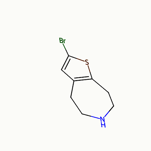 Brc1cc2c(s1)CCNCC2